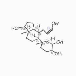 C[C@]12CC[C@H](O)C(O)[C@@H]1/C(=C/O)C[C@@H]1[C@@H]2CC[C@]2(C)[C@@H](O)CC[C@@H]12